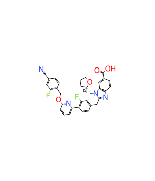 N#Cc1ccc(COc2cccc(-c3ccc(Cc4nc5ccc(C(=O)O)cc5n4C[C@@H]4CCCO4)cc3F)n2)c(F)c1